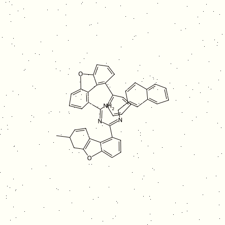 CC1C=Cc2c(oc3cccc(C(=N/Cc4ccc5ccccc5c4)/N=C(\N)c4cccc5oc6cccc(-c7ccccc7)c6c45)c23)C1